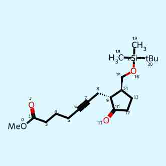 COC(=O)CCCC#CC[C@H]1C(=O)CC[C@@H]1CO[Si](C)(C)C(C)(C)C